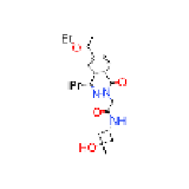 CCOC(C)c1ccc2c(=O)n(CC(=O)N[C@H]3C[C@@](C)(O)C3)nc(C(C)C)c2c1